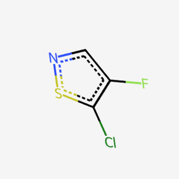 Fc1cnsc1Cl